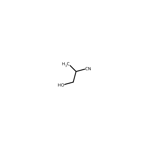 CC(C#N)CO